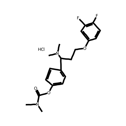 CN(C)C(=O)Oc1ccc(C(CCOc2ccc(F)c(F)c2)N(C)C)cc1.Cl